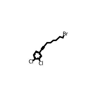 Clc1ccc(C#CCCCCCCBr)cc1Cl